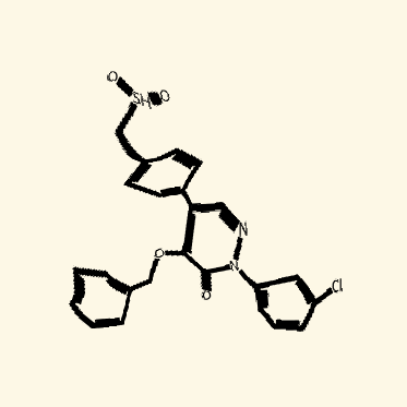 O=c1c(OCc2ccccc2)c(-c2ccc(C[SH](=O)=O)cc2)cnn1-c1cccc(Cl)c1